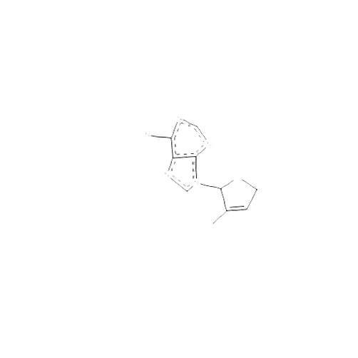 Nc1ncnc2c1ncn2C1O[CH]C=C1F